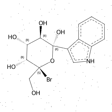 OC[C@@]1(Br)O[C@](O)(c2c[nH]c3ccccc23)[C@H](O)[C@@H](O)[C@H]1O